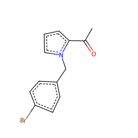 CC(=O)c1cccn1Cc1ccc(Br)cc1